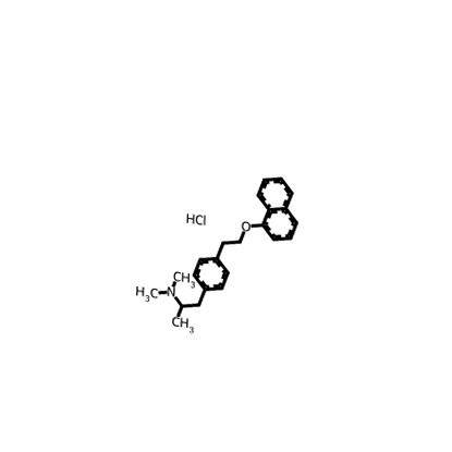 CC(Cc1ccc(CCOc2cccc3ccccc23)cc1)N(C)C.Cl